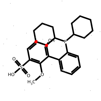 COc1c(S(=O)(=O)O)ccc(O)c1-c1ccccc1P(C1CCCCC1)C1CCCCC1